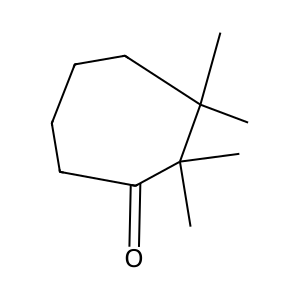 CC1(C)CCCCC(=O)C1(C)C